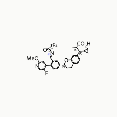 COc1cc(-c2ccc([C@H]3CCc4ccc([C@H](C5CC5)[C@H](C)C(=O)O)cc4O3)cc2/C=N/[S+]([O-])C(C)(C)C)c(F)cn1